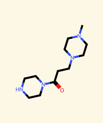 CN1CCN(CCC(=O)N2CCNCC2)CC1